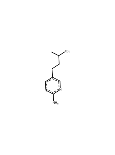 CC(CCc1cnc(N)nc1)C(C)(C)C